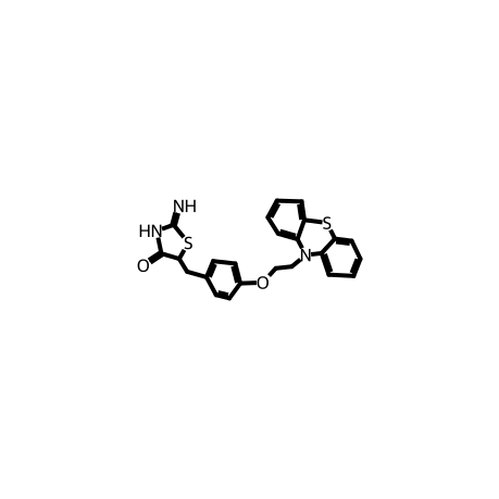 N=C1NC(=O)C(Cc2ccc(OCCN3c4ccccc4Sc4ccccc43)cc2)S1